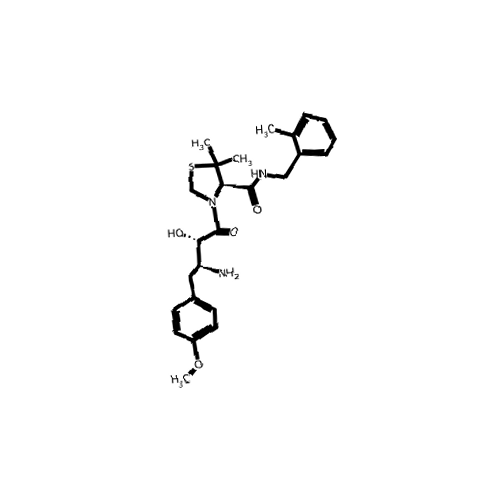 COc1ccc(C[C@H](N)[C@H](O)C(=O)N2CSC(C)(C)[C@H]2C(=O)NCc2ccccc2C)cc1